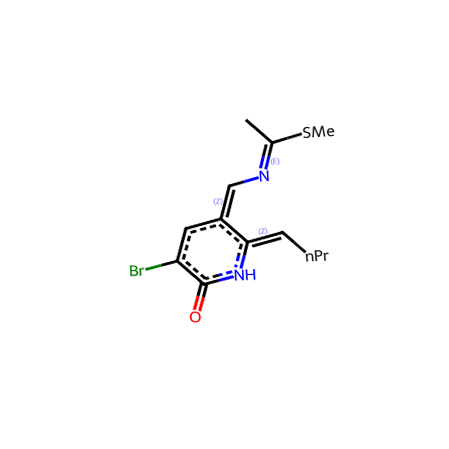 CCC\C=c1/[nH]c(=O)c(Br)c/c1=C/N=C(\C)SC